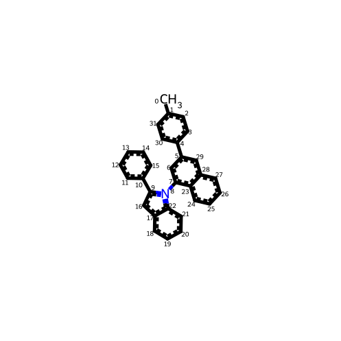 Cc1ccc(-c2cc(-n3c(-c4ccccc4)cc4ccccc43)c3ccccc3c2)cc1